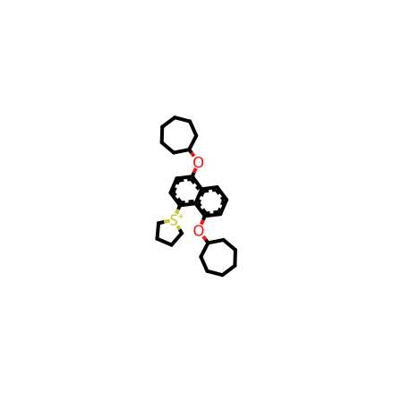 c1cc(OC2CCCCCC2)c2c([S+]3CCCC3)ccc(OC3CCCCCC3)c2c1